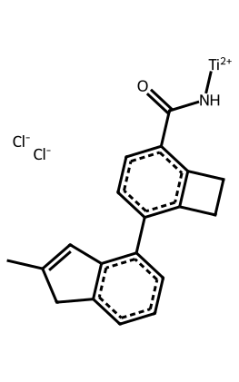 CC1=Cc2c(cccc2-c2ccc(C(=O)[NH][Ti+2])c3c2CC3)C1.[Cl-].[Cl-]